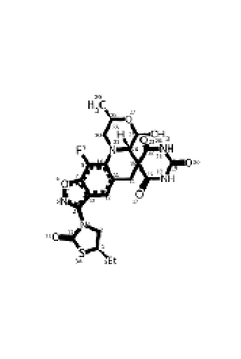 CC[C@@H]1CN(c2noc3c(F)c4c(cc23)CC2(C(=O)NC(=O)NC2=O)[C@H]2[C@H](C)O[C@H](C)CN42)C(=O)S1